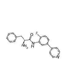 N[C@@H](Cc1ccccc1)C(=O)Nc1cc(-c2ccncc2)ccc1F